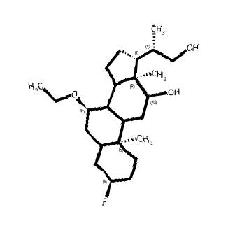 CCO[C@@H]1CC2C[C@H](F)CC[C@]2(C)C2C[C@H](O)[C@@]3(C)C(CC[C@@H]3[C@H](C)CO)C21